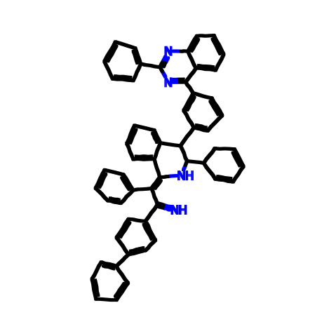 N=C(/C(=C1\NC(C2C=CC=CC2)C(c2cccc(-c3nc(-c4ccccc4)nc4ccccc34)c2)c2ccccc21)c1ccccc1)c1ccc(-c2ccccc2)cc1